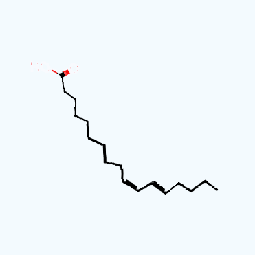 CCCC/C=C/C=C\CCCCCCCCC(=O)O